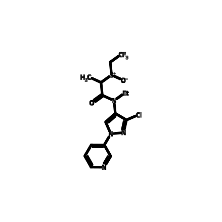 CCN(C(=O)C(C)[S+]([O-])CC(F)(F)F)c1cn(-c2cccnc2)nc1Cl